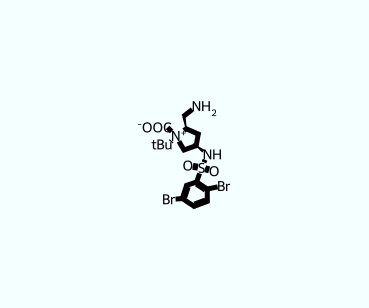 CC(C)(C)[N+]1(C(=O)[O-])C[C@H](NS(=O)(=O)c2cc(Br)ccc2Br)C[C@@H]1CN